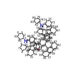 c1ccc(N2c3ccccc3C(c3ccccc3)(c3ccccc3)c3c(-c4cccc5c(-c6c7ccccc7cc7ccccc67)c6cccc(-c7cccc8c7C(c7ccccc7)(c7ccccc7)c7ccccc7N8c7ccccc7)c6cc45)cccc32)cc1